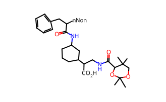 CCCCCCCCCC(Cc1ccccc1)C(=O)NC1CCCC(C(CNC(=O)C2OC(C)(C)OCC2(C)C)C(=O)O)C1